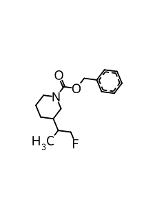 CC(CF)C1CCCN(C(=O)OCc2ccccc2)C1